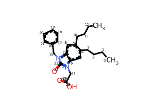 CCCCc1cc2c(cc1CCCC)n(Cc1ccccc1)c(=O)n2CC(=O)O